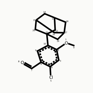 COc1cc(Cl)c(C=O)cc1C12CC3CC(CC(C3)C1)C2